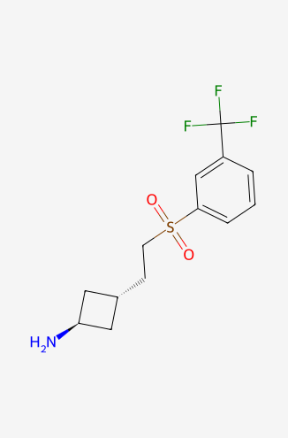 N[C@H]1C[C@H](CCS(=O)(=O)c2cccc(C(F)(F)F)c2)C1